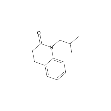 C[C](C)CN1C(=O)CCc2ccccc21